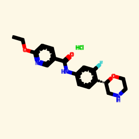 CCOc1ccc(C(=O)Nc2ccc([C@H]3CNCCO3)c(F)c2)cn1.Cl